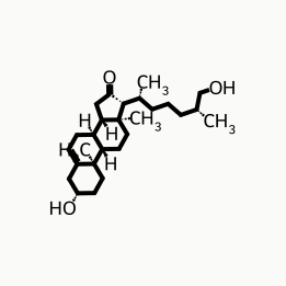 C[C@@H](CO)CCC[C@@H](C)[C@H]1C(=O)C[C@H]2[C@@H]3CC=C4C[C@@H](O)CC[C@]4(C)[C@H]3CC[C@]12C